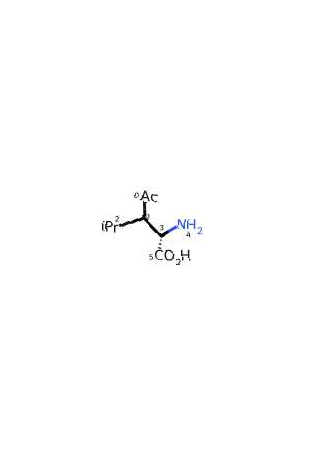 CC(=O)C(C(C)C)[C@H](N)C(=O)O